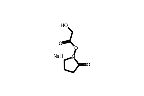 O=C(CO)ON1CCCC1=O.[NaH]